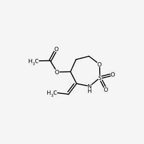 C/C=C1/NS(=O)(=O)OCCC1OC(C)=O